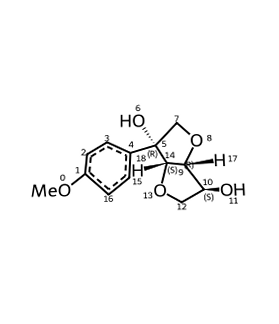 COc1ccc([C@@]2(O)CO[C@@H]3[C@@H](O)CO[C@@H]32)cc1